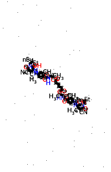 CCCCC(CC)Cn1c(O)c(N=Nc2ccc(S(=O)(=O)NCC(C)OC(=O)CCCCC(=O)OC(C)CNS(=O)(=O)c3ccc(N=Nc4c(C)c(C#N)c(=O)n(CC(CC)CCCC)c4O)cc3C)c(C)c2)c(C)c(C#N)c1=O